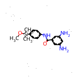 CO[Si](C)(C)c1ccc(NC(=O)c2cc(N)cc(N)c2)cc1